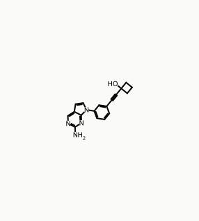 Nc1ncc2ccn(-c3cccc(C#CC4(O)CCC4)c3)c2n1